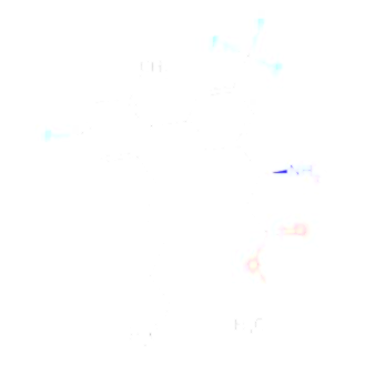 C=CCCCCc1cc(F)cc(C)c1-c1cc([C@@H](N)CC(=O)OCC)cc(C(F)(F)F)c1